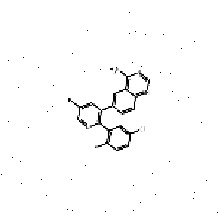 Nc1ncnc2ccc(-c3cc(F)cnc3-c3cc(Cl)ccc3F)cc12